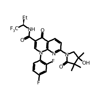 CC[C@@H](NC(=O)c1cn(-c2ccc(F)cc2F)c2nc(N3CC(C)(O)C(C)(C)C3=O)ccc2c1=O)C(F)(F)F